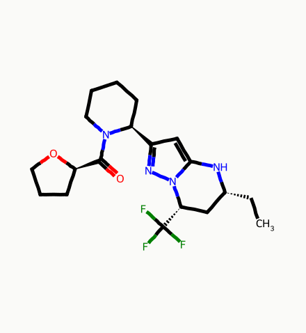 CC[C@@H]1C[C@H](C(F)(F)F)n2nc([C@@H]3CCCCN3C(=O)[C@H]3CCCO3)cc2N1